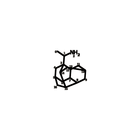 CC(N)C12CC3CC4C5CC(CC41)CC2C5C3